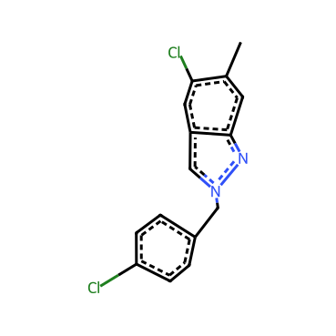 Cc1cc2nn(Cc3ccc(Cl)cc3)cc2cc1Cl